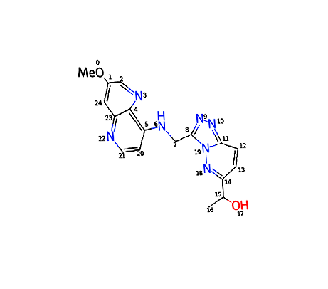 COc1cnc2c(NCc3nnc4ccc(C(C)O)nn34)ccnc2c1